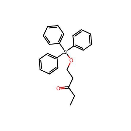 CCC(=O)CCO[Si](c1ccccc1)(c1ccccc1)c1ccccc1